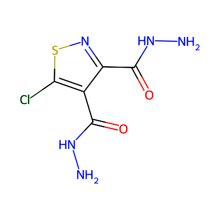 NNC(=O)c1nsc(Cl)c1C(=O)NN